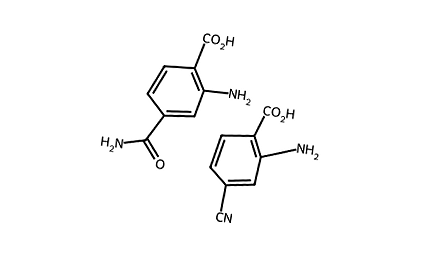 N#Cc1ccc(C(=O)O)c(N)c1.NC(=O)c1ccc(C(=O)O)c(N)c1